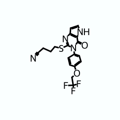 N#CCCCSc1nc2cc[nH]c2c(=O)n1-c1ccc(OCC(F)(F)F)cc1